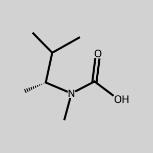 CC(C)[C@@H](C)N(C)C(=O)O